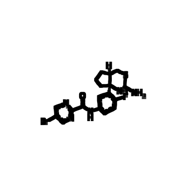 NC1N[C@@]2(c3cc(NC(=O)c4ncc(Br)cn4)ccc3F)CCC[C@H]2CS1